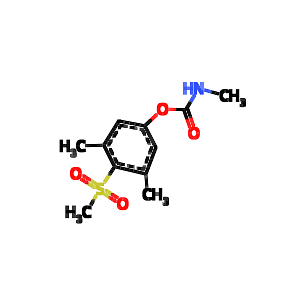 CNC(=O)Oc1cc(C)c(S(C)(=O)=O)c(C)c1